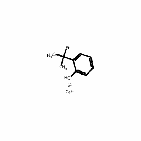 CCC(C)(C)c1ccccc1O.[Ca+2].[S-2]